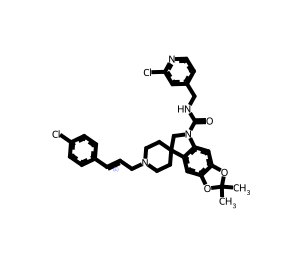 CC1(C)Oc2cc3c(cc2O1)C1(CCN(C/C=C/c2ccc(Cl)cc2)CC1)CN3C(=O)NCc1ccnc(Cl)c1